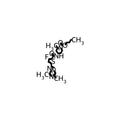 CCCCOC(=O)N1CCC(NC(=O)c2sc(-c3cn4cc(C)nc(C)c4n3)cc2F)CC1C